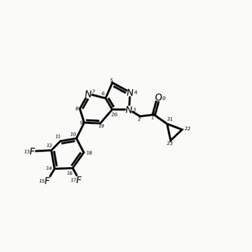 O=C(Cn1ncc2ncc(-c3cc(F)c(F)c(F)c3)cc21)C1CC1